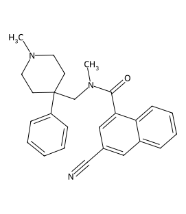 CN1CCC(CN(C)C(=O)c2cc(C#N)cc3ccccc23)(c2ccccc2)CC1